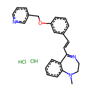 CN1CCN=C(C=Cc2cccc(OCc3cccnc3)c2)c2ccccc21.Cl.Cl